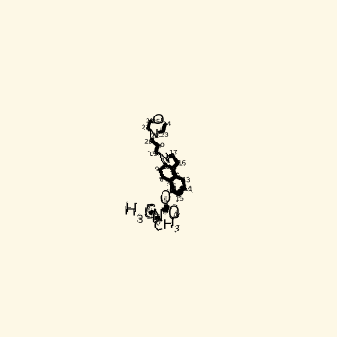 CN(C)C(=O)OC1=C2CCC3C(=C2CC=C1)CCN3CCCN1CCOCC1